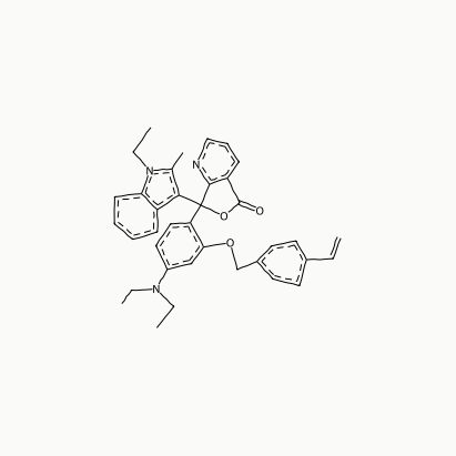 C=Cc1ccc(COc2cc(N(CC)CC)ccc2C2(c3c(C)n(CC)c4ccccc34)OC(=O)c3cccnc32)cc1